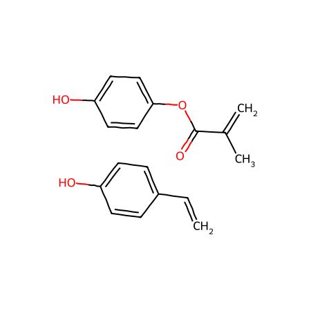 C=C(C)C(=O)Oc1ccc(O)cc1.C=Cc1ccc(O)cc1